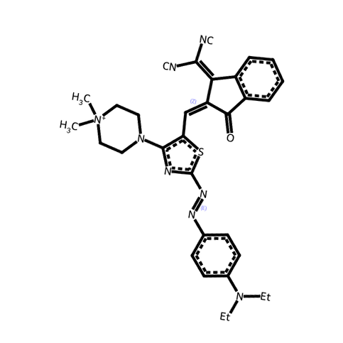 [C-]#[N+]C([N+]#[C-])=C1/C(=C/c2sc(/N=N/c3ccc(N(CC)CC)cc3)nc2N2CC[N+](C)(C)CC2)C(=O)c2ccccc21